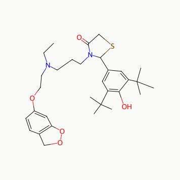 CCN(CCCN1C(=O)CSC1c1cc(C(C)(C)C)c(O)c(C(C)(C)C)c1)CCOc1ccc2c(c1)OOC2